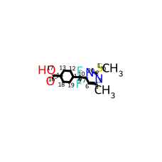 CSc1nc(C)cc(C(F)(F)C2CCC(C(=O)O)CC2)n1